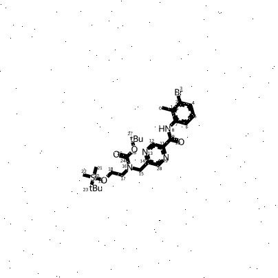 Cc1c(Br)cccc1NC(=O)c1cnc(CN(CCO[Si](C)(C)C(C)(C)C)C(=O)OC(C)(C)C)cn1